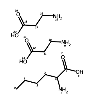 CCCCC(N)C(=O)O.NCCC(=O)O.NCCC(=O)O